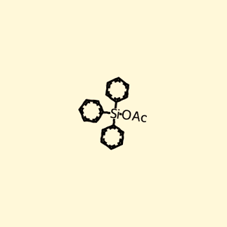 CC(=O)O[Si](c1ccccc1)(c1ccccc1)c1ccccc1